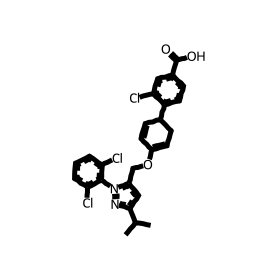 CC(C)c1cc(COC2=CCC(c3ccc(C(=O)O)cc3Cl)C=C2)n(-c2c(Cl)cccc2Cl)n1